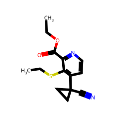 CCOC(=O)c1nccc(C2(C#N)CC2)c1SCC